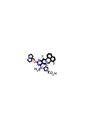 C#Cc1c(F)ccc2cccc(-c3ncc4c(N(C)[C@@H]5CCN(C(=O)O)C5)nc(OCC56CCCN5CCC6)nc4c3F)c12